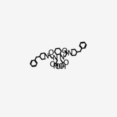 O=C(O)CN(CC(=O)N1CCC(Cc2ccccc2)CC1)C1CCCCC1N(CC(=O)O)CC(=O)N1CCC(Cc2ccccc2)CC1